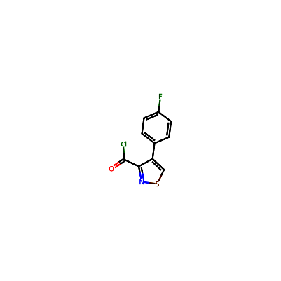 O=C(Cl)c1nscc1-c1ccc(F)cc1